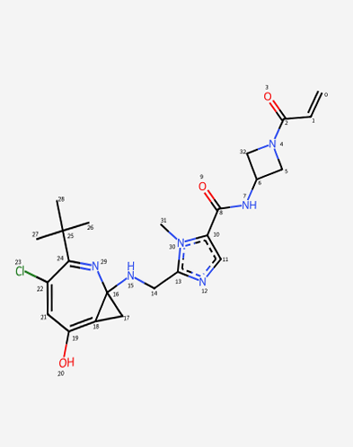 C=CC(=O)N1CC(NC(=O)c2cnc(CNC34CC3=C(O)C=C(Cl)C(C(C)(C)C)=N4)n2C)C1